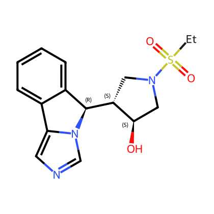 CCS(=O)(=O)N1C[C@@H]([C@@H]2c3ccccc3-c3cncn32)[C@H](O)C1